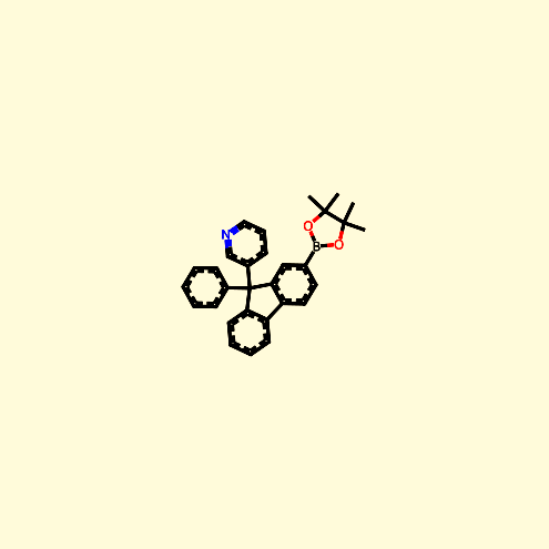 CC1(C)OB(c2ccc3c(c2)C(c2ccccc2)(c2cccnc2)c2ccccc2-3)OC1(C)C